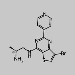 C[C@H](N)CNc1nc(-c2ccncc2)nc2c(Br)csc12